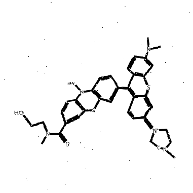 CCCN1c2ccc(C(=O)N(C)CCO)cc2Sc2cc(-c3c4ccc(=[N+]5CCN(C)CC5)cc-4sc4cc(N(C)C)ccc34)ccc21